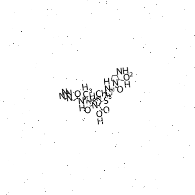 C[C@@H](NC(=O)Cn1cnnn1)[C@H]1C(=O)N2C(C(=O)O)=C(S[C@@H]3CN[C@H](C(=O)N4CCC(N)C4CO)C3)[C@H](C)[C@H]12